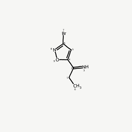 CCC(=N)c1cc(Br)no1